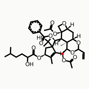 C=CC1O[C@H]2C[C@H]3OC[C@@]3(OC(C)=O)[C@H]3[C@H](OC(=O)c4ccccc4)C4(C(C)(C)O)C[C@H](OC(=O)C(O)CCC(C)C)C(C)=C4[C@H](OC(C)=O)[C@H](O1)[C@]23C